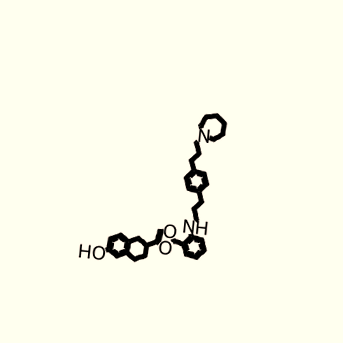 Oc1ccc2c(c1)CCC(C1=COC(c3ccccc3NCCCc3ccc(CCCN4CCCCCC4)cc3)O1)C2